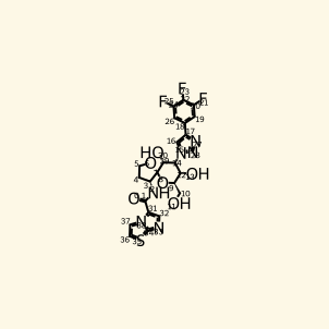 O=C(N[C@@H]1CCO[C@]12O[C@H](CO)[C@H](O)[C@H](n1cc(-c3cc(F)c(F)c(F)c3)nn1)[C@H]2O)c1cnc2sccn12